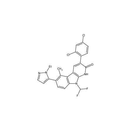 CCn1nccc1-c1ccc2c(c1C)c1cc(-c3ccc(Cl)cc3Cl)c(=O)[nH]c1n2C(F)F